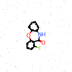 O=C1Nc2ccccc2Oc2cccc(F)c21